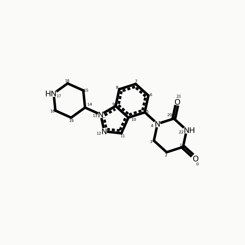 O=C1CCN(c2cccc3c2cnn3C2CCNCC2)C(=O)N1